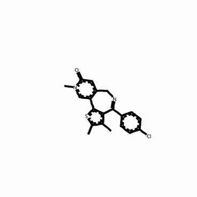 Cc1sc2c(c1C)C(c1ccc(Cl)cc1)=NCc1cc(=O)n(C)cc1-2